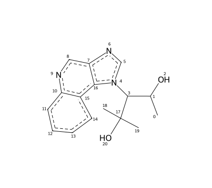 CC(O)C(n1cnc2cnc3ccccc3c21)C(C)(C)O